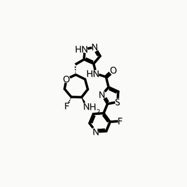 N[C@@H]1CC[C@@H](Cc2[nH]ncc2NC(=O)c2csc(-c3ccncc3F)n2)OC[C@H]1F